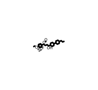 CCCC1CCC(C2CCC(C(O)CCC(OC=O)c3ccc(OCC)c([Si](C)(C)C)c3F)CC2)CC1